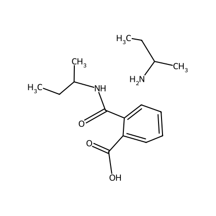 CCC(C)N.CCC(C)NC(=O)c1ccccc1C(=O)O